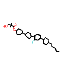 CCCCCC1CCC(c2ccc(C3CCC(C4CCC(OC(=O)C(C)(C)CO)CC4)CC3)c(F)c2)CC1